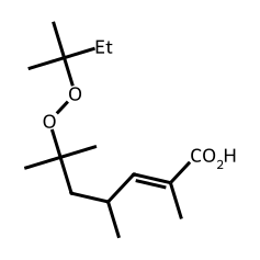 CCC(C)(C)OOC(C)(C)CC(C)C=C(C)C(=O)O